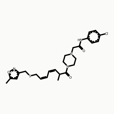 Cc1cc(CSC/C=C\C=C/C(C)C(=O)N2CCN(CC(=O)Nc3ccc(Cl)cc3)CC2)no1